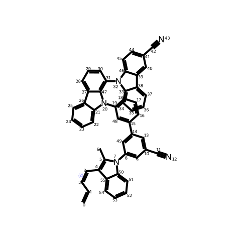 C=C/C=C\c1c(C)n(-c2cc(C#N)cc(-c3cccc(-n4c5ccccc5c5cccc(-n6c7ccccc7c7cc(C#N)ccc76)c54)c3)c2)c2ccccc12